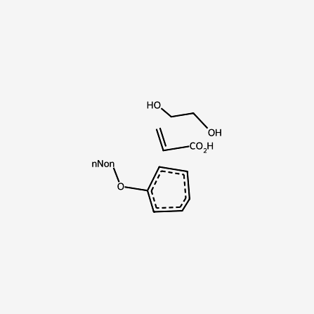 C=CC(=O)O.CCCCCCCCCOc1ccccc1.OCCO